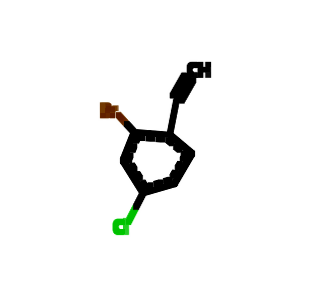 C#Cc1ccc(Cl)cc1Br